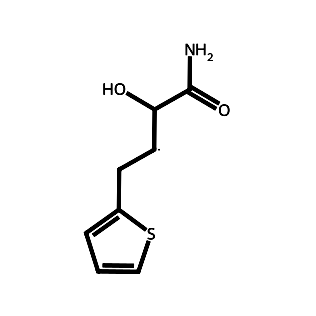 NC(=O)C(O)[CH]Cc1cccs1